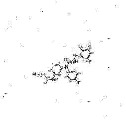 COC[C@H](C)Nc1nccc(N(C(=O)NCc2cc(F)cc(F)c2F)c2ccc(F)cc2)n1